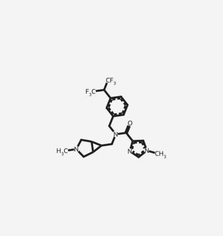 CN1CC2C(C1)C2CN(Cc1cccc(C(C(F)(F)F)C(F)(F)F)c1)C(=O)c1cn(C)cn1